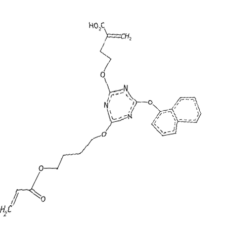 C=CC(=O)OCCCCOc1nc(OCCC(=C)C(=O)O)nc(Oc2cccc3ccccc23)n1